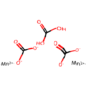 O=C(O)O.O=C([O-])[O-].O=C([O-])[O-].[Mn+2].[Mn+2]